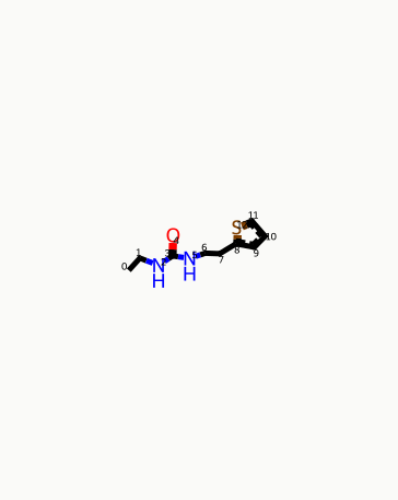 CCNC(=O)NCCc1cccs1